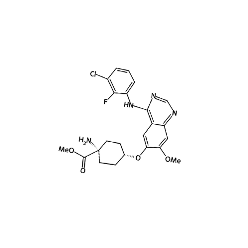 COc1cc2ncnc(Nc3cccc(Cl)c3F)c2cc1O[C@H]1CC[C@](N)(C(=O)OC)CC1